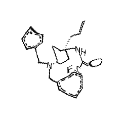 C=CC[C@]1(NC(=O)C(F)(F)F)C[C@H](N(Cc2ccccc2)Cc2ccccc2)C1